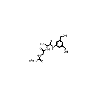 CCCCCC(=O)NCC(=O)NC(C)C(=O)Nc1cc(CO)cc(CO)c1